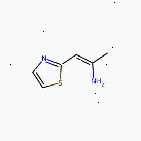 CC(N)=Cc1nccs1